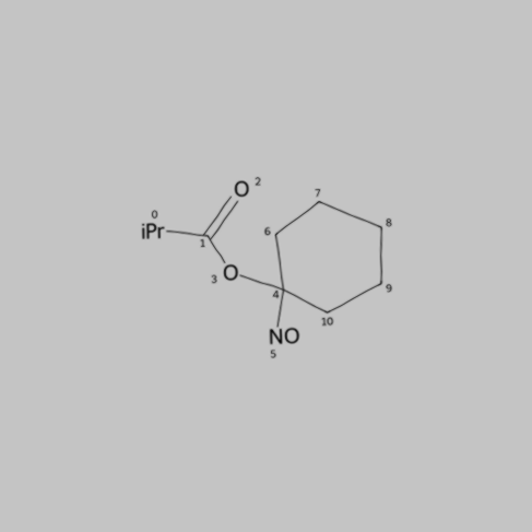 CC(C)C(=O)OC1(N=O)CCCCC1